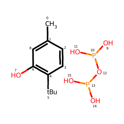 Cc1ccc(C(C)(C)C)c(O)c1.OP(O)OP(O)O